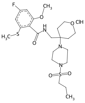 CCCS(=O)(=O)N1CCN(C2(CNC(=O)c3c(OC)cc(F)cc3SC)CCOCC2)CC1.Cl